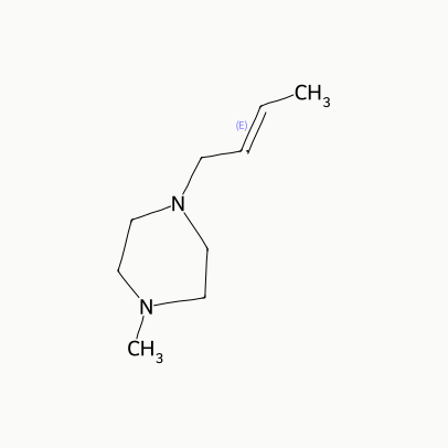 C/C=[C]/CN1CCN(C)CC1